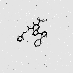 Cc1c(C(=O)O)cc2c(-c3ccnn3C3CCCCO3)ccn2c1C(C)OCc1nccs1